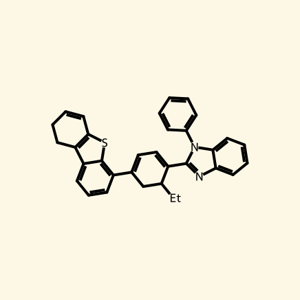 CCC1CC(c2cccc3c4c(sc23)C=CCC4)=CC=C1c1nc2ccccc2n1-c1ccccc1